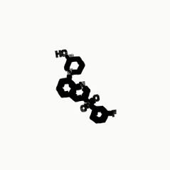 O=S(=O)(c1cccc(F)c1)c1cnc2c(N3CCC[C@H](O)C3)cccc2c1